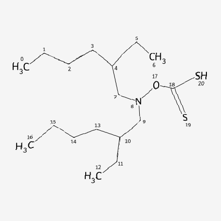 CCCCC(CC)CN(CC(CC)CCCC)OC(=S)S